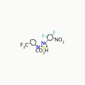 O=C(O)N(c1cccc(C(F)(F)F)c1)c1nc(-c2cc([N+](=O)[O-])c(F)cc2F)cs1